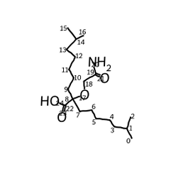 CC(C)CCCCCC(CCCCCC(C)C)(OCC(N)=O)C(=O)O